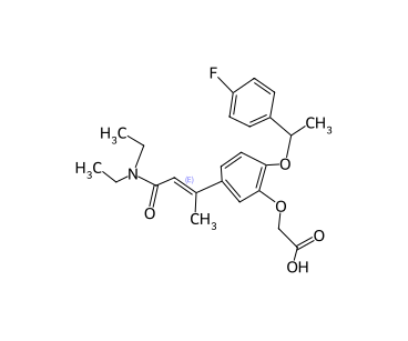 CCN(CC)C(=O)/C=C(\C)c1ccc(OC(C)c2ccc(F)cc2)c(OCC(=O)O)c1